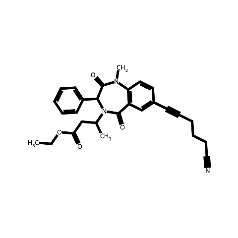 CCOC(=O)CC(C)N1C(=O)c2cc(C#CCCCC#N)ccc2N(C)C(=O)C1c1ccccc1